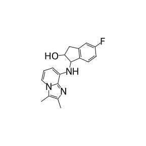 Cc1nc2c(NC3c4ccc(F)cc4CC3O)cccn2c1C